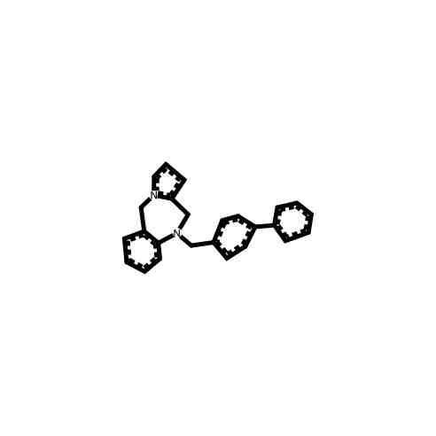 c1ccc(-c2ccc(CN3Cc4cccn4Cc4ccccc43)cc2)cc1